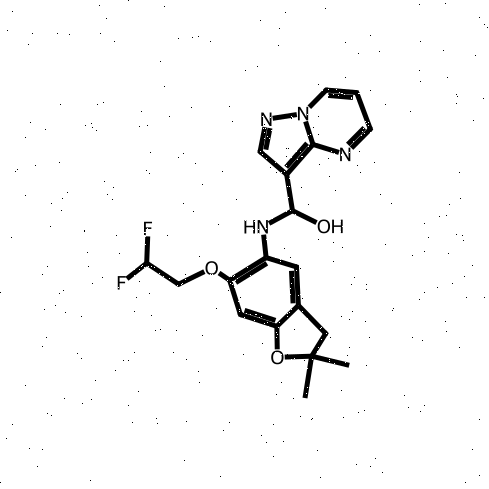 CC1(C)Cc2cc(NC(O)c3cnn4cccnc34)c(OCC(F)F)cc2O1